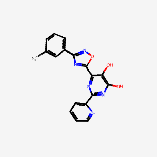 Oc1nc(-c2ccccn2)nc(-c2nc(-c3cccc(C(F)(F)F)c3)no2)c1O